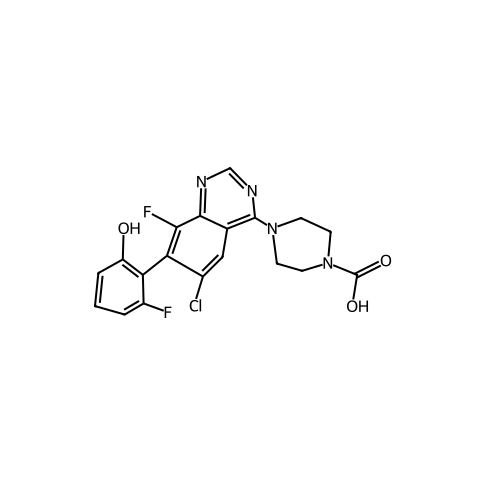 O=C(O)N1CCN(c2ncnc3c(F)c(-c4c(O)cccc4F)c(Cl)cc23)CC1